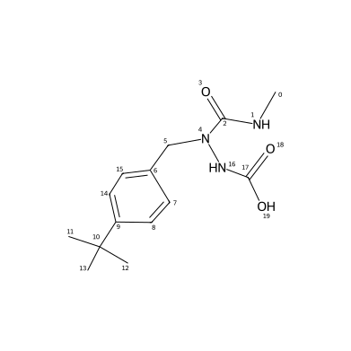 CNC(=O)N(Cc1ccc(C(C)(C)C)cc1)NC(=O)O